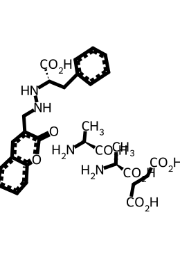 C[C@H](N)C(=O)O.C[C@H](N)C(=O)O.O=C(O)CCC(=O)O.O=C(O)[C@H](Cc1ccccc1)NNCc1cc2ccccc2oc1=O